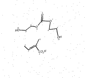 CC=C(C)C(=O)O.O=C(OCCO)OCCO